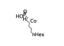 CCCCCCCCCCCC[PH](=O)O.[Co]